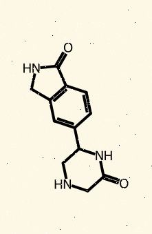 O=C1CNCC(c2ccc3c(c2)CNC3=O)N1